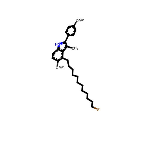 COc1ccc(-c2[nH]c3ccc(OC)c(CCCCCCCCCCCCBr)c3c2C)cc1